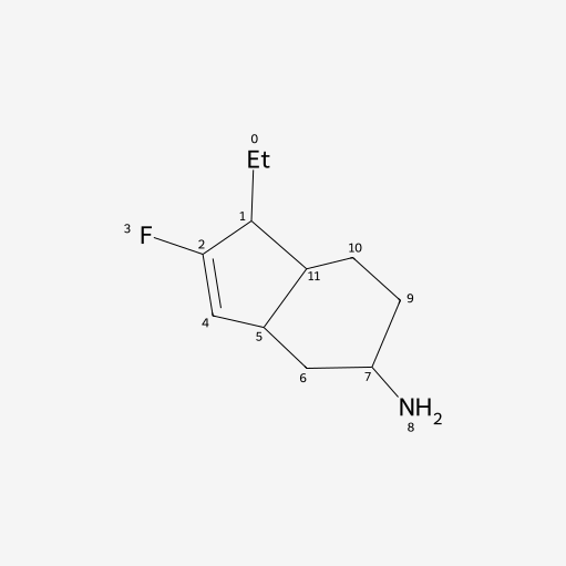 CCC1C(F)=CC2CC(N)CCC21